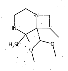 COC(OC)C12C(C)CN1CCNC2(C)[SiH3]